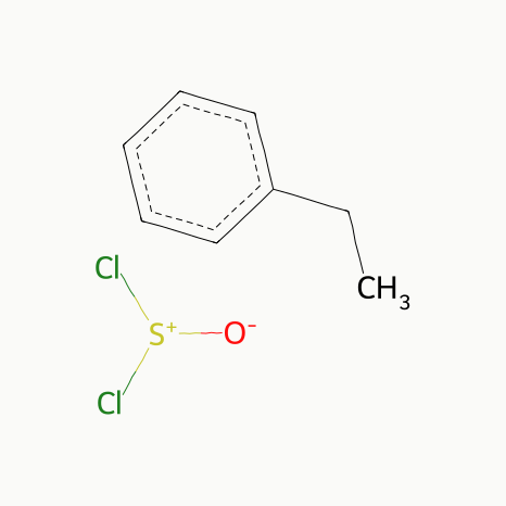 CCc1ccccc1.[O-][S+](Cl)Cl